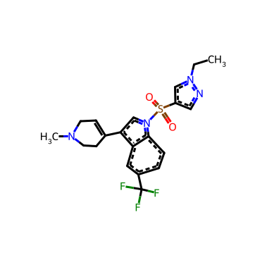 CCn1cc(S(=O)(=O)n2cc(C3=CCN(C)CC3)c3cc(C(F)(F)F)ccc32)cn1